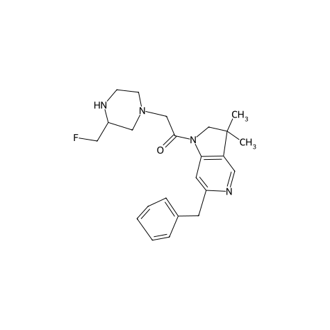 CC1(C)CN(C(=O)CN2CCNC(CF)C2)c2cc(Cc3ccccc3)ncc21